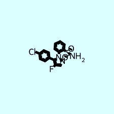 NS(=O)(=O)c1ccccc1-n1ncc(F)c1-c1ccc(Cl)cc1